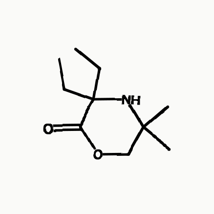 CCC1(CC)NC(C)(C)COC1=O